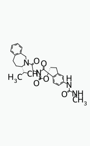 CNC(=O)Nc1ccc2c(c1)CC[C@@]21OC(=O)N(CC(=O)N2Cc3ccccc3CC[C@H]2C(C)C)C1=O